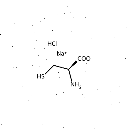 Cl.N[C@@H](CS)C(=O)[O-].[Na+]